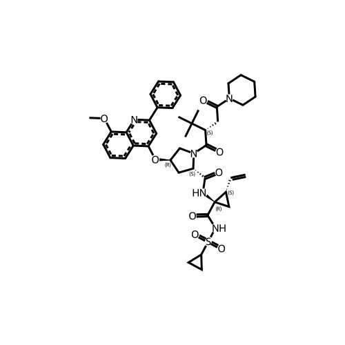 C=C[C@@H]1C[C@]1(NC(=O)[C@@H]1C[C@@H](Oc2cc(-c3ccccc3)nc3c(OC)cccc23)CN1C(=O)[C@@H](CC(=O)N1CCCCC1)C(C)(C)C)C(=O)NS(=O)(=O)C1CC1